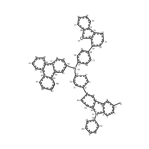 Cc1ccc2c(c1)c1cc(-c3ccc(N(c4ccc(-c5cccc6c5oc5ccccc56)cc4)c4ccc5c6ccccc6c6ccccc6c5c4)cc3)ccc1n2-c1ccccc1